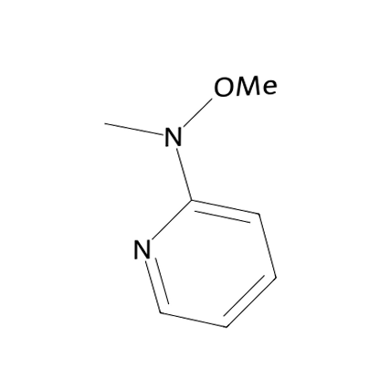 CON(C)c1ccccn1